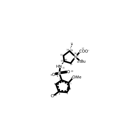 COc1ccc(Cl)cc1S(=O)(=O)N[C@@H]1C[C@H](C)[N+](C(=O)[O-])(C(C)(C)C)C1